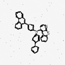 c1ccc(-c2ccc(N(c3ccc(-c4cc5ccccc5c5ccccc45)cc3)c3ccnc4sc5ccccc5c34)cc2)cc1